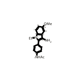 CCn1c(-c2ccc(NC(C)=O)cc2)c(N)c2cc(OC)ccc21